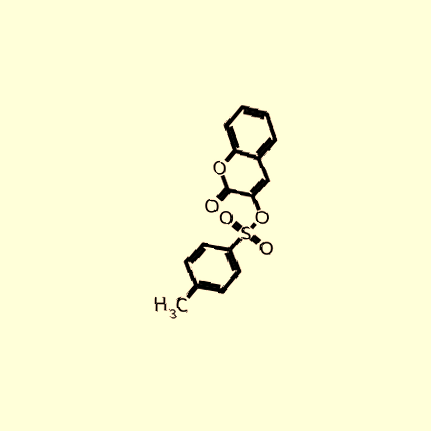 Cc1ccc(S(=O)(=O)Oc2cc3ccccc3oc2=O)cc1